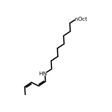 C/C=C\C=C/NCCCCCCCCCCCCCCCC